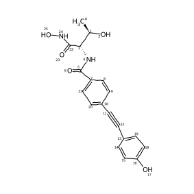 C[C@@H](O)[C@H](NC(=O)c1ccc(C#Cc2ccc(O)cc2)cc1)C(=O)NO